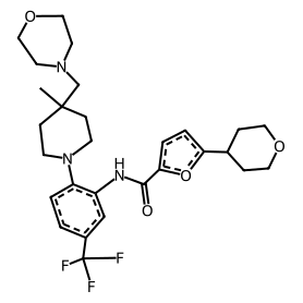 CC1(CN2CCOCC2)CCN(c2ccc(C(F)(F)F)cc2NC(=O)c2ccc(C3CCOCC3)o2)CC1